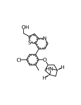 Cc1cc(Cl)cc(-c2ccnc3cc(CO)sc23)c1OC1C[C@@H]2C[C@H](C1)N2